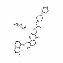 Cc1ccc2cccc(OCc3c(Cl)ccc(N(C)C(=O)CNC(=O)CN4CCN(c5ccncc5)CC4)c3Cl)c2n1.Cl.Cl.Cl.Cl